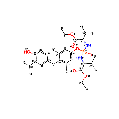 CCOC(=O)[C@@H](NP(=O)(N[C@@H](C(=O)OCC)C(C)C)Oc1cc(C)c(Cc2ccc(O)c(C(C)C)c2)c(C)c1)C(C)C